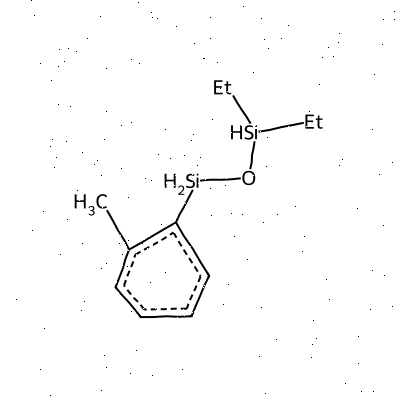 CC[SiH](CC)O[SiH2]c1ccccc1C